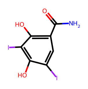 NC(=O)c1cc(I)c(O)c(I)c1O